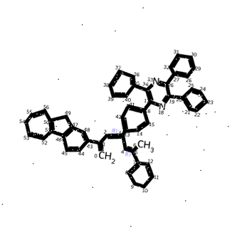 C=C(/C=C(\C=C(/C)C1=CCCC=C1)c1ccc(-c2nc(-c3ccccc3)c(-c3ccccc3)nc2-c2ccccc2)cc1)c1ccc2c(c1)CC1=C2C=CCC=C1